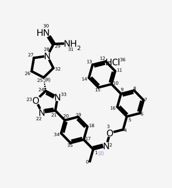 C/C(=N/OCc1cccc(-c2ccccc2)c1)c1ccc(-c2noc([C@@H]3CCN(C(=N)N)C3)n2)cc1.Cl